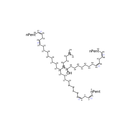 CCCCC/C=C\C/C=C\CCCCCCCCC(CCCCCCCC/C=C\C/C=C\CCCCC)N(CCCN(C)C)C(O)CCCCCCC/C=C\C/C=C\CCCCC